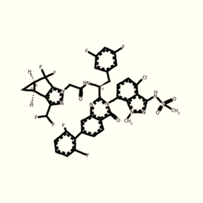 Cn1nc(NS(C)(=O)=O)c2c(Cl)ccc(-n3c([C@H](Cc4cc(F)cc(F)c4)NC(=O)Cn4nc(C(F)F)c5c4C(F)(F)[C@@H]4C[C@H]54)nc4cc(-c5c(F)cccc5F)ccc4c3=O)c21